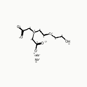 O=C([O-])CN(CCOCCO)CC(=O)[O-].[Na+].[Na+]